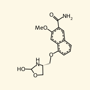 COc1cc2c(OC[C@@H]3COC(O)N3)cccc2cc1C(N)=O